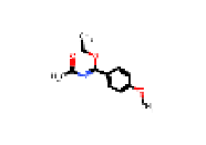 CCO/C(=N\C(C)=O)c1ccc(OC)cc1